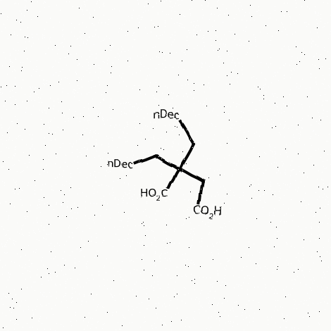 CCCCCCCCCCCC(CCCCCCCCCCC)(CC(=O)O)C(=O)O